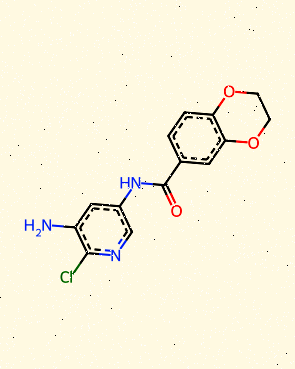 Nc1cc(NC(=O)c2ccc3c(c2)OCCO3)cnc1Cl